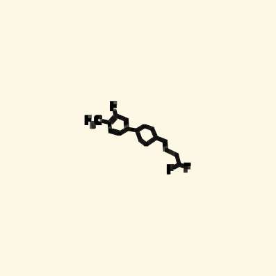 Fc1cc(C2CCC(/C=C/CC(F)F)CC2)ccc1C(F)(F)F